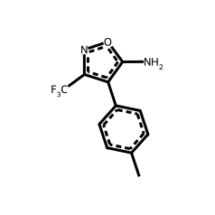 Cc1ccc(-c2c(C(F)(F)F)noc2N)cc1